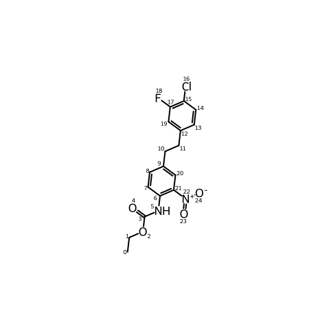 CCOC(=O)Nc1ccc(CCc2ccc(Cl)c(F)c2)cc1[N+](=O)[O-]